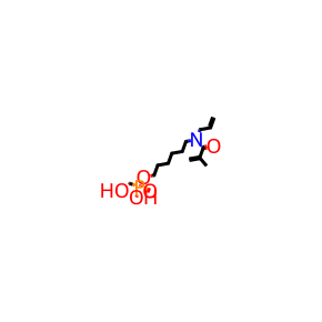 C=CCN(CCCCCCOP(=O)(O)CO)C(=O)C(=C)C